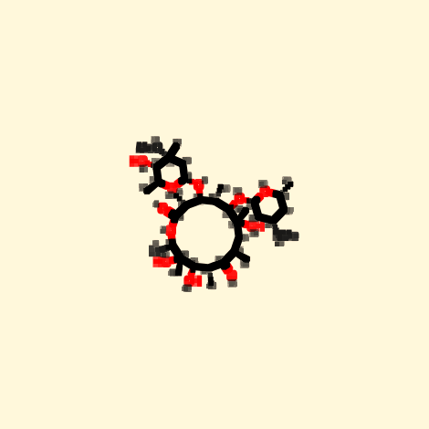 CC[C@H]1OC(=O)[C@H](C)[C@@H](O[C@H]2C[C@@](C)(OC)[C@@H](O)[C@H](C)O2)[C@H](C)[C@@H](O[C@H]2C[C@@H](NC)C[C@@H](C)O2)[C@](C)(O)C[C@@H](C)C(=O)[C@H](C)[C@@H](O)[C@]1(C)O